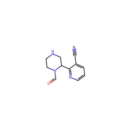 N#Cc1cccnc1C1CNCCN1[C]=O